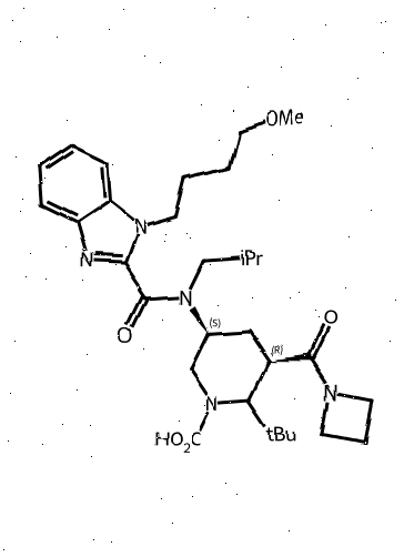 COCCCCn1c(C(=O)N(CC(C)C)[C@H]2C[C@@H](C(=O)N3CCC3)C(C(C)(C)C)N(C(=O)O)C2)nc2ccccc21